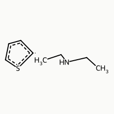 CCNCC.[c]1cccs1